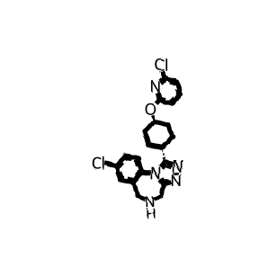 Clc1ccc2c(c1)CNCc1nnc([C@H]3CC[C@H](Oc4cccc(Cl)n4)CC3)n1-2